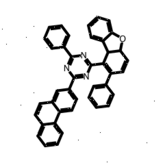 C1=CC2Oc3ccccc3C2C(c2nc(-c3ccccc3)nc(-c3ccc4c(ccc5ccccc54)c3)n2)=C1c1ccccc1